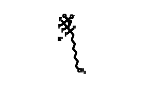 CCCCCCCCCC(F)(F)C(F)(F)C(F)(F)S(=O)(=O)[O-].[K+]